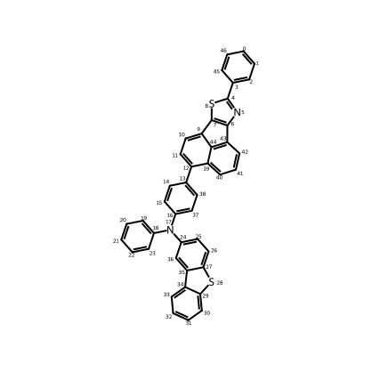 c1ccc(-c2nc3c(s2)-c2ccc(-c4ccc(N(c5ccccc5)c5ccc6sc7ccccc7c6c5)cc4)c4cccc-3c24)cc1